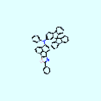 c1ccc(-c2nc3c(o2)-c2cccc4c(N(c5ccccc5)c5ccc6c(c5)C5(c7ccccc7-c7ccccc75)c5ccccc5-6)ccc-3c24)cc1